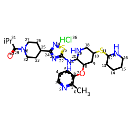 Cc1ncccc1OC1CC(SC2CCCCN2)CNC1Nc1nc(C2CCN(C(=O)C(C)C)CC2)ns1.Cl